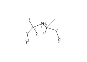 CC(C)(CCl)PC(C)(C)CCl